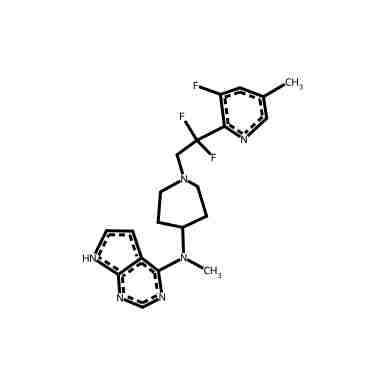 Cc1cnc(C(F)(F)CN2CCC(N(C)c3ncnc4[nH]ccc34)CC2)c(F)c1